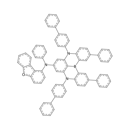 c1ccc(-c2ccc(N3c4ccc(-c5ccccc5)cc4B4c5cc(-c6ccccc6)ccc5N(c5ccc(-c6ccccc6)cc5)c5cc(N(c6ccccc6)c6cccc7oc8ccccc8c67)cc3c54)cc2)cc1